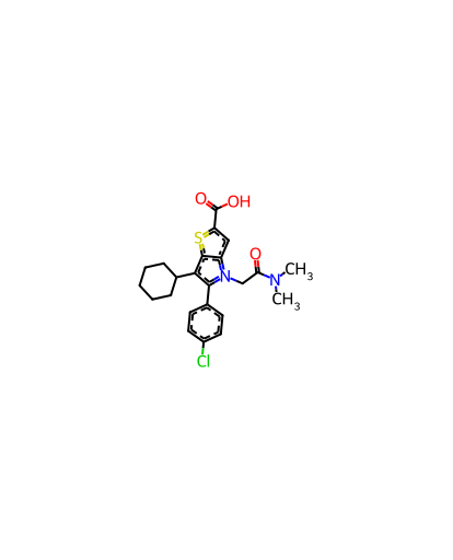 CN(C)C(=O)Cn1c(-c2ccc(Cl)cc2)c(C2CCCCC2)c2sc(C(=O)O)cc21